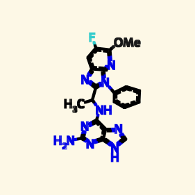 COc1nc2c(cc1F)nc(C(C)Nc1nc(N)nc3[nH]cnc13)n2-c1ccccc1